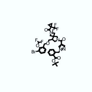 CC(C)(C)OC(=O)c1ccccc1Cn1cc(C(=O)N2CC(COCc3cccc(Br)c3OC(F)F)C3(C2)CN(C(=O)C2(C(F)(F)F)CC2)C3)cn1